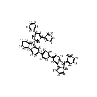 c1ccc(-c2cc(-c3ccccc3)nc(-n3c4ccccc4c4ccc(-c5ccc(-c6ccc7c(c6)c6ccccc6n7-c6ccccc6)cc5)cc43)n2)cc1